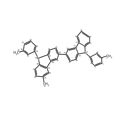 Cc1cccc(-n2c3ccccc3c3cc(-c4ccc5c(c4)c4cc(C)ccc4n5-c4cccc(C)c4)ccc32)c1